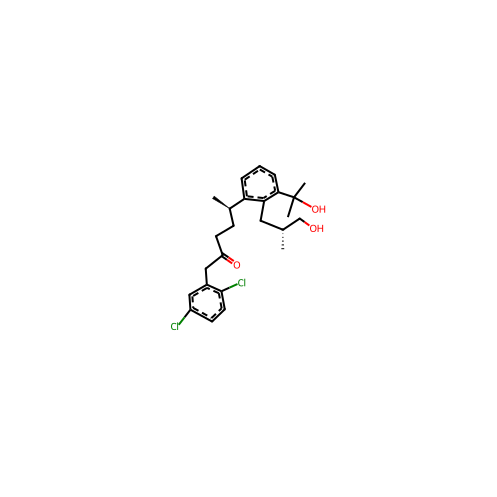 C[C@@H](CO)Cc1c([C@H](C)CCC(=O)Cc2cc(Cl)ccc2Cl)cccc1C(C)(C)O